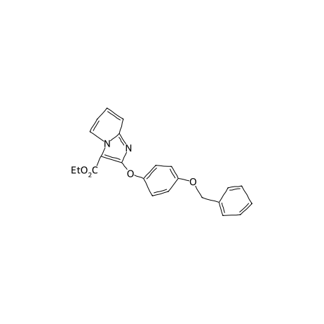 CCOC(=O)c1c(Oc2ccc(OCc3ccccc3)cc2)nc2ccccn12